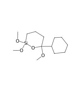 COC1(C2CCCCC2)CCC[Si](OC)(OC)O1